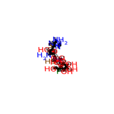 Nc1ncnc2c([C@@H]3O[C@H](COP(=O)(S)OP(=O)(O)OC4OC([C@@H](F)CO)C(O)C(O)C4O)[C@@H](N)[C@H]3O)snc12